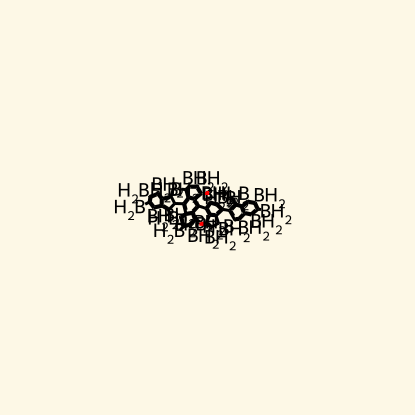 BC1=C(B)C(B)c2c1c(-c1c3c(B)c(B)c(B)c(B)c3c(C3C(B)=c4c(B)c(B)c(B)c(B)c4=C3B)c3c(B)c(B)c(B)c(B)c13)c(B)c(B)c2-c1c(B)c(B)c2c(B)c(B)c(B)c(B)c2c1B